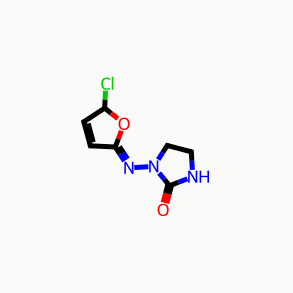 O=C1NCCN1N=C1C=CC(Cl)O1